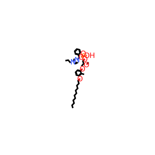 CCCCCCCCCCCCOc1cccc(OCC(COP(=O)(O)Oc2ccccc2CN2C=CN(CCC)C2)OC)c1C